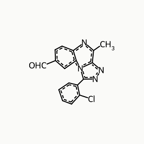 Cc1nc2ccc(C=O)cc2n2c(-c3ccccc3Cl)nnc12